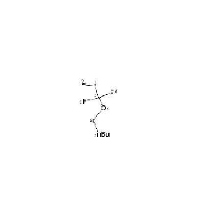 C=CC(F)(F)OCCCCC